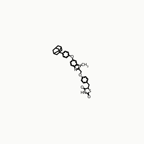 Cn1c(COc2ccc(CC3SC(=O)NC3=O)cc2)nc2ccc(Oc3ccc(C45CC6CC(CC(C6)C4)C5)cc3)cc21